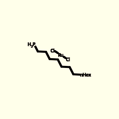 CCCCCCCCCCCCCP.[Cl][Ru][Cl]